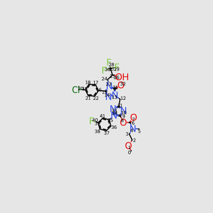 COCCN(C)C(=O)Oc1nc(Cn2nc(-c3ccc(Cl)cc3)n(CC(O)C(F)(F)F)c2=O)nn1-c1cccc(F)c1